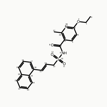 CCOc1ccc(C(=O)NS(=O)(=O)CC=Cc2cccc3ccccc23)c(C)n1